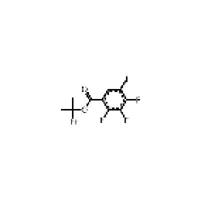 CCC(C)(C)OC(=O)c1cc(I)c(F)c(F)c1F